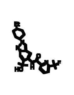 CC[C@H]1CC[C@H](n2cc3cc(NC(=O)c4cccc(C(C)(C)F)n4)c(C(C)(C)O)cc3n2)CC1